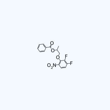 CC(COc1c([N+](=O)[O-])ccc(F)c1F)OC(=O)c1ccccc1